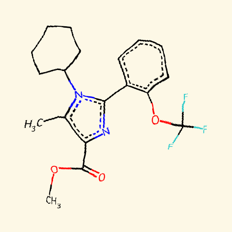 COC(=O)c1nc(-c2ccccc2OC(F)(F)F)n(C2CCCCC2)c1C